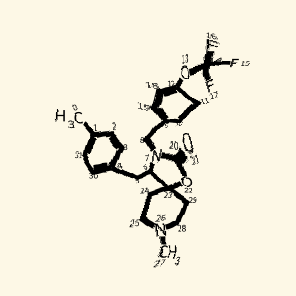 Cc1ccc(CC2N(Cc3ccc(OC(F)(F)F)cc3)C(=O)OC23CCN(C)CC3)cc1